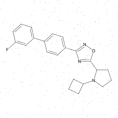 Fc1cccc(-c2ccc(-c3noc(C4CCCN4C4CCC4)n3)cc2)c1